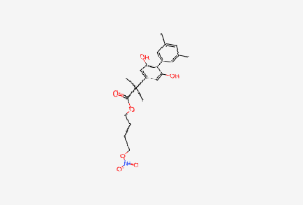 Cc1cc(C)cc(-c2c(O)cc(C(C)(C)C(=O)OCCCCO[N+](=O)[O-])cc2O)c1